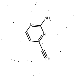 C#Cc1ccnc(N)n1